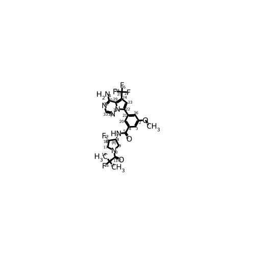 COc1cc(C(=O)N[C@@H]2CN(C(=O)C(C)(C)F)C[C@@H]2F)cc(-c2cc(C(F)(F)F)c3c(N)ncnn23)c1